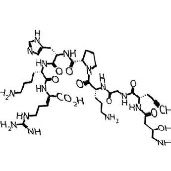 C#CC[C@H](NC(=O)C[C@@H](O)CN)C(=O)NCC(=O)N[C@H](CCCN)C(=O)N1CCC[C@H]1C(=O)N[C@@H](Cc1cnc[nH]1)C(=O)N[C@@H](CCCCN)C(=O)N/C(=C\CCNC(=N)N)C(=O)O